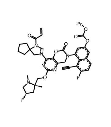 C#Cc1c(F)ccc2cc(OC(=O)OC(C)C)cc(N3Cc4nc(OC[C@]5(C)C[C@@H](F)CN5C)nc(NCC5(N(C)C(=O)C=C)CCCC5)c4OC3=O)c12